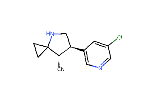 N#C[C@H]1[C@H](c2cncc(Cl)c2)CNC12CC2